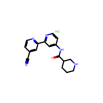 Cl.N#Cc1ccnc(-c2cc(NC(=O)C3CCCNC3)ccn2)c1